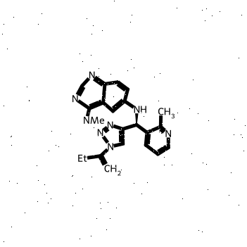 C=C(CC)n1cc([C@@H](Nc2ccc3ncnc(NC)c3c2)c2cccnc2C)nn1